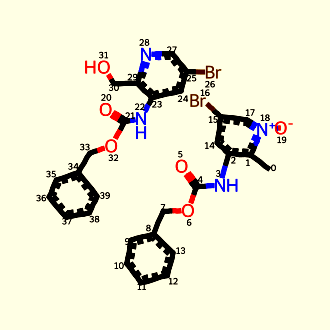 Cc1c(NC(=O)OCc2ccccc2)cc(Br)c[n+]1[O-].O=C(Nc1cc(Br)cnc1CO)OCc1ccccc1